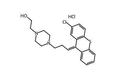 Cl.OCCN1CCN(CC/C=C2/c3ccccc3Sc3ccc(Cl)cc32)CC1